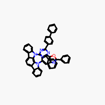 c1ccc(-c2ccc(-c3nc(-c4ccccc4)nc(-n4c5ccccc5c5ccc6c7ccccc7n(-c7ccc8oc(-c9ccccc9)nc8c7)c6c54)n3)cc2)cc1